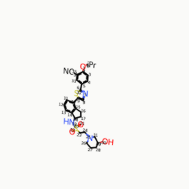 CC(C)Oc1ccc(-c2ncc(-c3cccc4c3CC[C@H]4NS(=O)(=O)CCN3CCC[C@H](O)C3)s2)cc1C#N